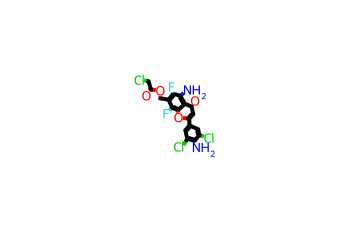 Nc1c(Cl)cc(-c2cc(=O)c3c(N)c(F)c(COC(=O)CCl)c(F)c3o2)cc1Cl